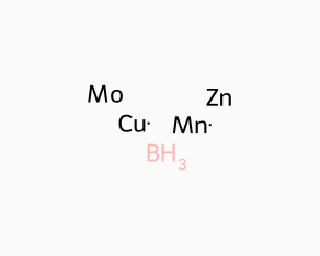 B.[Cu].[Mn].[Mo].[Zn]